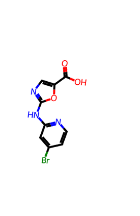 O=C(O)c1cnc(Nc2cc(Br)ccn2)o1